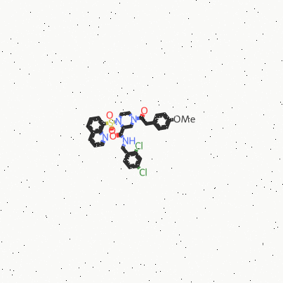 COc1ccc(CC(=O)N2CCN(S(=O)(=O)c3cccc4cccnc34)C(C(=O)NCc3ccc(Cl)cc3Cl)C2)cc1